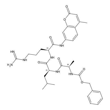 Cc1cc(=O)oc2cc(NC(=O)[C@H](CCCNC(=N)N)NC(=O)[C@H](CC(C)C)NC(=O)[C@@H](C)NC(=O)OCc3ccccc3)ccc12